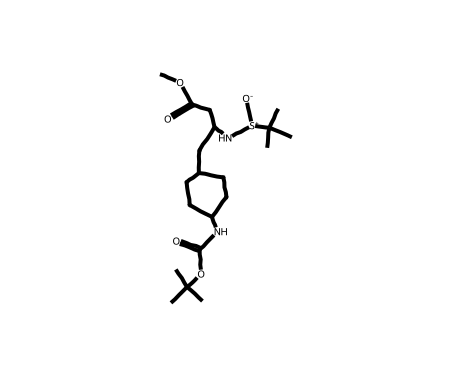 COC(=O)CC(CC1CCC(NC(=O)OC(C)(C)C)CC1)N[S+]([O-])C(C)(C)C